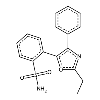 CCc1nc(-c2ccccc2)c(-c2ccccc2S(N)(=O)=O)o1